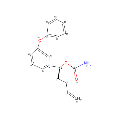 C=CCC[C@H](OC(N)=O)c1cccc(Oc2ccccc2)c1